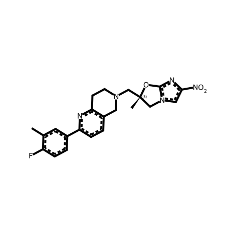 Cc1cc(-c2ccc3c(n2)CCN(C[C@@]2(C)Cn4cc([N+](=O)[O-])nc4O2)C3)ccc1F